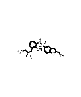 CC(C)CC1Cc2cc(S(=O)(=O)Nc3cccc(C[C@@H](C)CN)c3O)ccc2O1